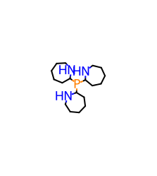 C1CCNC(P(C2CCCCCN2)C2CCCCCN2)CC1